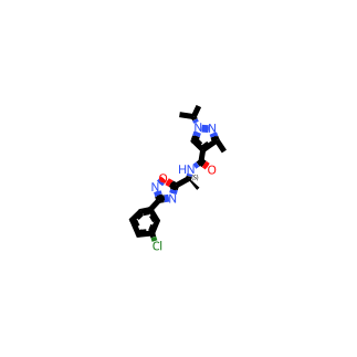 Cc1nn(C(C)C)cc1C(=O)N[C@@H](C)c1nc(-c2cccc(Cl)c2)no1